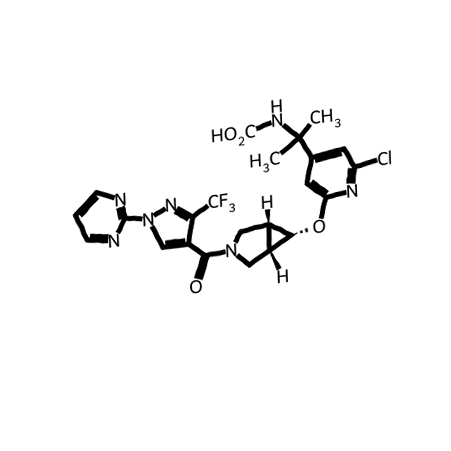 CC(C)(NC(=O)O)c1cc(Cl)nc(O[C@@H]2[C@@H]3CN(C(=O)c4cn(-c5ncccn5)nc4C(F)(F)F)C[C@@H]32)c1